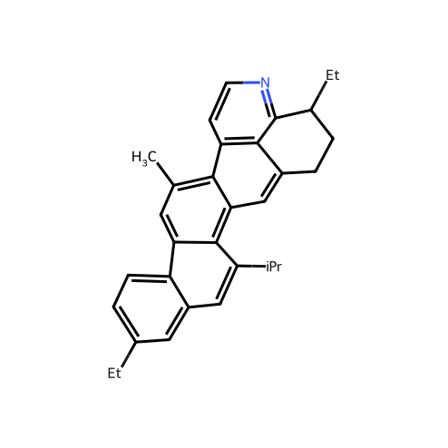 CCc1ccc2c(c1)cc(C(C)C)c1c2cc(C)c2c3ccnc4c3c(cc21)CCC4CC